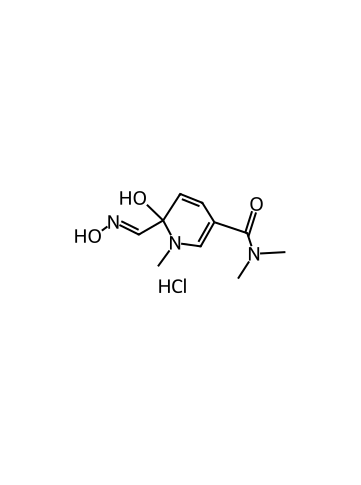 CN(C)C(=O)C1=CN(C)C(O)(C=NO)C=C1.Cl